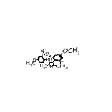 COc1cc(F)c(-c2c(C)nn(C)c2Nc2ccc(OC)cc2[N+](=O)[O-])c(F)c1